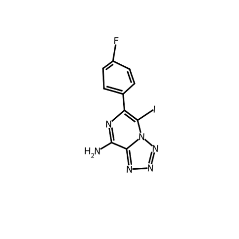 Nc1nc(-c2ccc(F)cc2)c(I)n2nnnc12